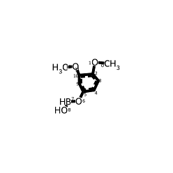 COc1ccc(OBO)cc1OC